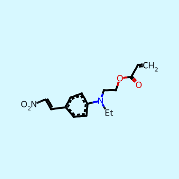 C=CC(=O)OCCN(CC)c1ccc(C=C[N+](=O)[O-])cc1